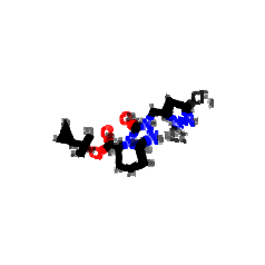 CCn1nc(C(F)(F)F)cc1Cn1nc2n(c1=O)[C@H](C(=O)OC(C)(C)C1CC1)CCC2